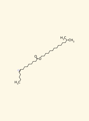 CCCC/C=C\CCCCCCCC(=O)OCCCCCCCCCCCCC(C)C